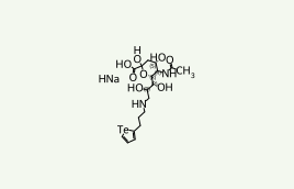 CC(=O)N[C@H]1[C@H]([C@H](O)[C@H](O)CNCCCc2ccc[te]2)OC(O)(C(=O)O)C[C@@H]1O.[NaH]